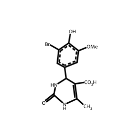 COc1cc(C2NC(=O)NC(C)=C2C(=O)O)cc(Br)c1O